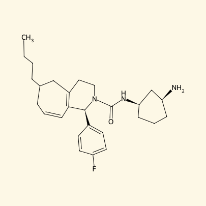 CCCCC1CC=CC2=C(CCN(C(=O)N[C@@H]3CCC[C@H](N)C3)[C@H]2c2ccc(F)cc2)C1